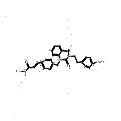 COc1ccc(CCn2c(=O)c3ccccc3n(Cc3ccc(/C=C/C(=O)NO)cc3)c2=O)cc1